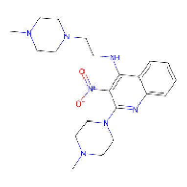 CN1CCN(CCNc2c([N+](=O)[O-])c(N3CCN(C)CC3)nc3ccccc23)CC1